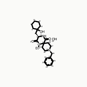 CCN1C(=O)[C@@H](CC2(O)CCCCC2)NC(=O)C12CCN(Cc1ccccc1)CC2.Cl